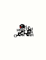 O=C(O)[C@H]1C2CCC(CC2)[C@@H]1Nc1nc(-c2c[nH]c3ncc(F)cc23)nn2cc(Cl)cc12